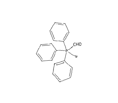 O=C[P]([Ir])(c1ccccc1)(c1ccccc1)c1ccccc1